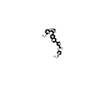 Cc1cccc(-c2[nH]cnc2-c2ccc3ncc(-c4csc(C(=O)O[C@@H]5CCN(C)C5)c4)cc3c2)n1